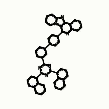 c1cc(-c2ccc(-c3nc4ccccc4c4nc5ccccn5c34)cc2)cc(-c2nc(-c3cccc4ccccc34)nc(-c3cccc4ccccc34)n2)c1